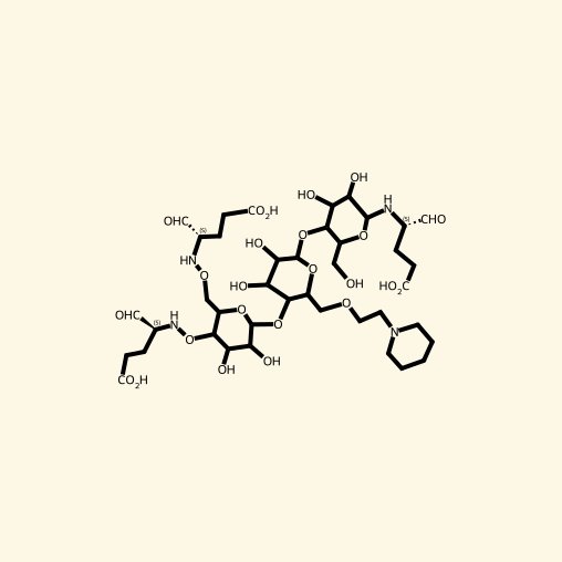 O=C[C@H](CCC(=O)O)NOCC1OC(OC2C(COCCN3CCCCC3)OC(OC3C(CO)OC(N[C@H](C=O)CCC(=O)O)C(O)C3O)C(O)C2O)C(O)C(O)C1ON[C@H](C=O)CCC(=O)O